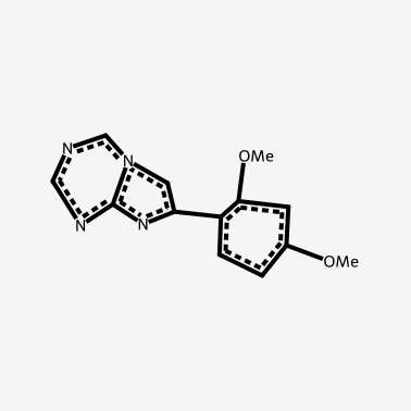 COc1ccc(-c2cn3cncnc3n2)c(OC)c1